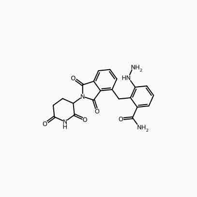 NNc1cccc(C(N)=O)c1Cc1cccc2c1C(=O)N(C1CCC(=O)NC1=O)C2=O